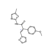 COc1ccc(/C(=C\c2ccco2)C(=O)Nc2ncc(C)s2)cc1